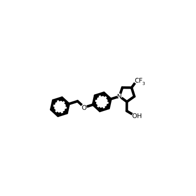 OCC1CC(C(F)(F)F)CN1c1ccc(OCc2ccccc2)cc1